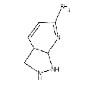 BC1=NC2NNCC2C=C1